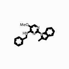 COc1cnc(-n2c(C)cc3[c]cccc32)nc1NCc1ccccc1